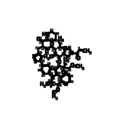 C=CC(=O)N1CC[C@H](C(=O)N(C)[C@H](C(=O)N[C@@H](Cc2cc(-c3ccc4c(c3)c(CC(C)(C)COC)c(-c3cccnc3[C@H](C)OC)n4CC)sn2)C(=O)N2CCCCN2)C(C)C)C1